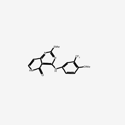 COc1ccc(Nc2nc(SC)nc3cc[nH]c(=O)c23)cc1C(F)(F)F